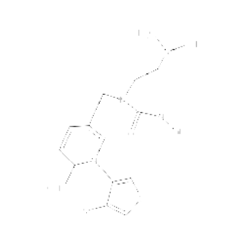 CCCNC(=O)N(CCN(C)C)CC1=CN(c2cscc2N)C([C]=O)C=C1